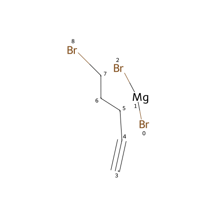 [Br][Mg][Br].[C]#CCCCBr